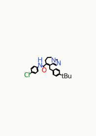 CC(C)(C)c1ccc(CC2=C(C(=O)Nc3ccc(Cl)cc3)CCCn3cncc32)cc1